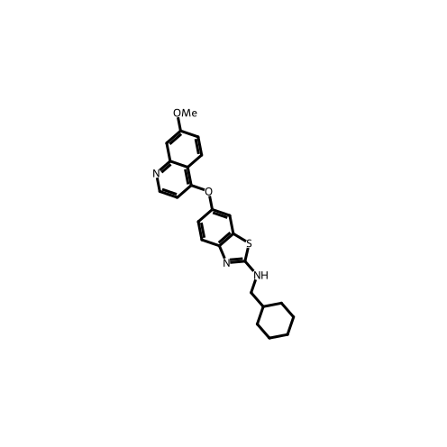 COc1ccc2c(Oc3ccc4nc(NCC5CCCCC5)sc4c3)ccnc2c1